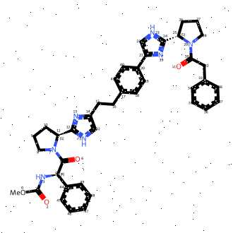 COC(=O)N[C@@H](C(=O)N1CCC[C@H]1c1nc(CCc2ccc(-c3c[nH]c([C@@H]4CCCN4C(=O)[CH]c4ccccc4)n3)cc2)c[nH]1)c1ccccc1